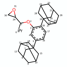 CC(C)C(Oc1cc(C23CC4CC(CC(C4)C2)C3)ccc1C12CC3CC(CC(C3)C1)C2)C1CO1